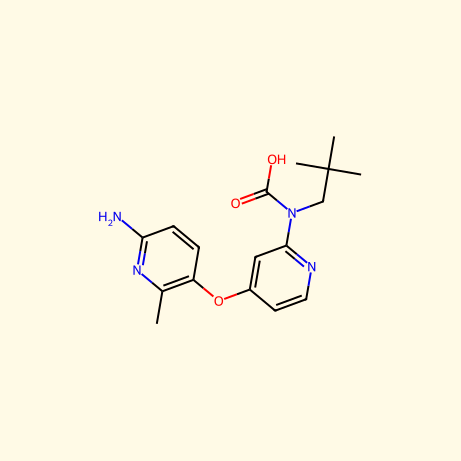 Cc1nc(N)ccc1Oc1ccnc(N(CC(C)(C)C)C(=O)O)c1